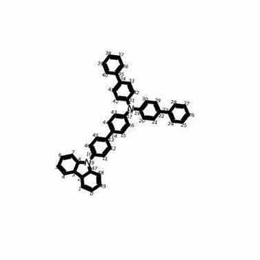 C1=CC2C3C=CC=CC3N(c3ccc(-c4ccc(N(c5ccc(-c6ccccc6)cc5)c5ccc(-c6ccccc6)cc5)cc4)cc3)C2C=C1